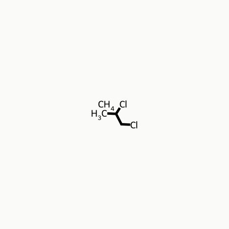 C.CC(Cl)CCl